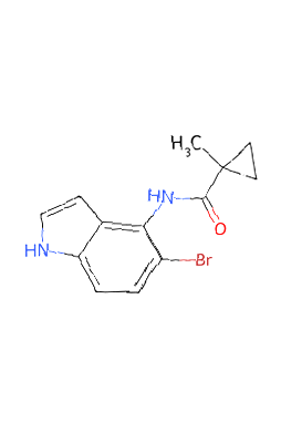 CC1(C(=O)Nc2c(Br)ccc3[nH]ccc23)CC1